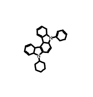 C1=CCCC(N2C3CC=CC=C3C3C4=C(C=CC32)N(C2CCCCC2)C2C=CC=CC42)=C1